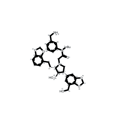 CCCCN(C(=O)CN1C[C@H](c2cc(CO)c3c(c2)OCO3)[C@@H](C(=O)O)[C@@H]1CCc1cccc2c1OCO2)c1cccc(CN)c1